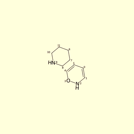 C1=CNOC=C1.C1CCNCC1